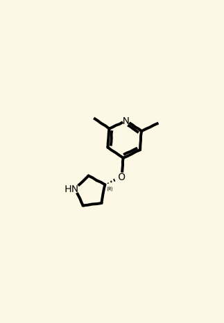 Cc1cc(O[C@@H]2CCNC2)cc(C)n1